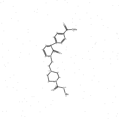 COC(=O)c1ccc(-c2cccn(CCN3CCN(C(=O)OC(C)(C)C)CC3)c2=O)cc1